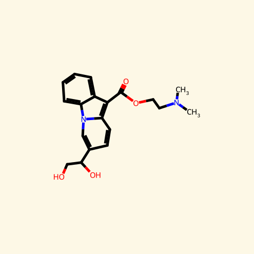 CN(C)CCOC(=O)c1c2ccccc2n2cc(C(O)CO)ccc12